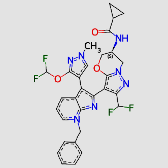 Cn1cc(-c2c3cccn(Cc4ccccc4)c-3nc2-c2c(C(F)F)nn3c2OC[C@@H](NC(=O)C2CC2)C3)c(OC(F)F)n1